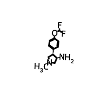 CN1C[C@@H](N)[C@H](c2ccc(OC(F)F)cc2)C1